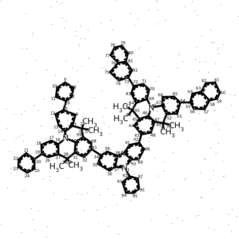 CC1(C)c2cc(-c3ccccc3)ccc2N2c3ccc(-c4ccccc4)cc3C(C)(C)c3cc(-c4ccc5c(c4)c4cc(-c6cc7c8c(c6)C(C)(C)c6cc(-c9ccc%10ccccc%10c9)ccc6N8c6ccc(-c8ccc9ccccc9c8)cc6C7(C)C)ccc4n5-c4ccccc4)cc1c32